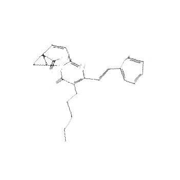 CCCCCc1c(/C=C/c2ccccc2)nc2n(c1=O)C1CC1(C(=O)O)C=C2